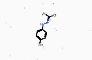 CC(=O)/C(Cl)=N\Nc1ccc([N+](=O)[O-])cc1